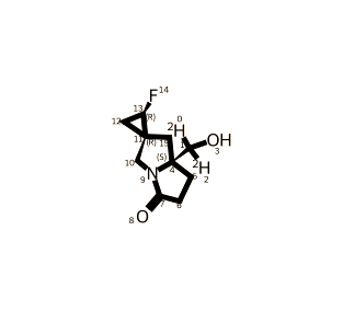 [2H]C([2H])(O)[C@@]12CCC(=O)N1C[C@]1(C[C@H]1F)C2